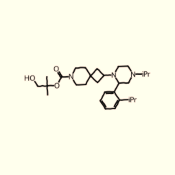 CC(C)c1ccccc1C1CN(C(C)C)CCN1C1CC2(CCN(C(=O)OC(C)(C)CO)CC2)C1